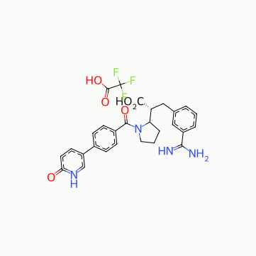 N=C(N)c1cccc(C[C@@H](C(=O)O)C2CCCN2C(=O)c2ccc(-c3ccc(=O)[nH]c3)cc2)c1.O=C(O)C(F)(F)F